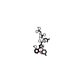 COC(=O)CNC(=O)C[C@H](CC(C)C)NC(=O)c1cc(-c2c(OC)cccc2OC)n(C2CCC(C)CC2)n1